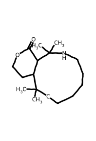 CC1(C)CCCCCCNC(C)(C)C2C(=O)OCCC21